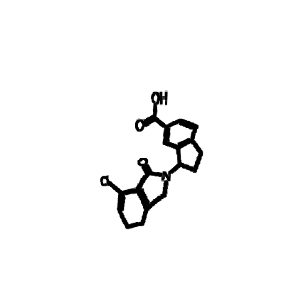 O=C(O)c1ccc2c(c1)C(N1CC3=C(C1=O)C(Cl)=CCC3)CC2